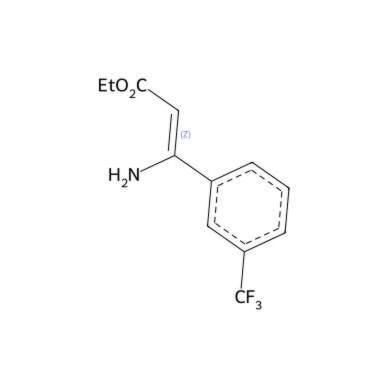 CCOC(=O)/C=C(\N)c1cccc(C(F)(F)F)c1